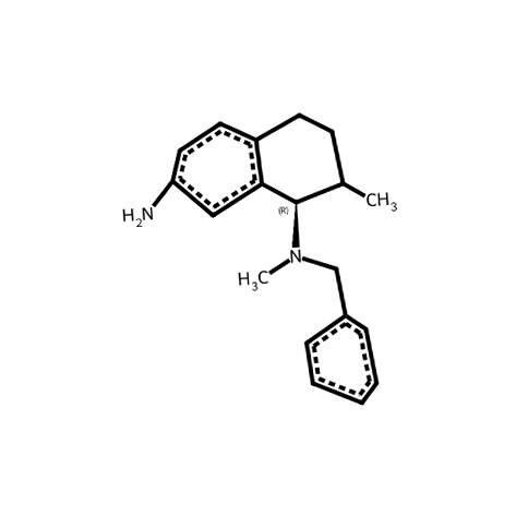 CC1CCc2ccc(N)cc2[C@@H]1N(C)Cc1ccccc1